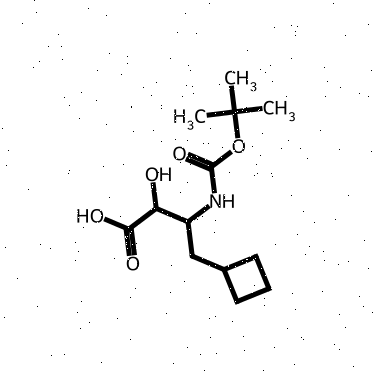 CC(C)(C)OC(=O)NC(CC1CCC1)C(O)C(=O)O